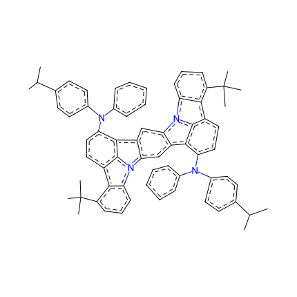 CC(C)c1ccc(N(c2ccccc2)c2ccc3c4c(C(C)(C)C)cccc4n4c5cc6c7c(N(c8ccccc8)c8ccc(C(C)C)cc8)ccc8c9c(C(C)(C)C)cccc9n(c6cc5c2c34)c87)cc1